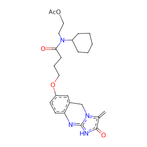 C=c1c(=O)[nH]c2n1Cc1cc(OCCCC(=O)N(CCOC(C)=O)C3CCCCC3)ccc1N=2